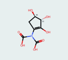 O=C(O)N(C(=O)O)C1=C(O)[C@@H](O)[C@H](O)C1